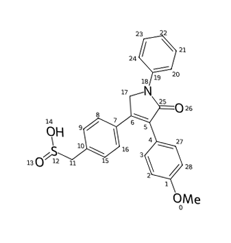 COc1ccc(C2=C(c3ccc(CS(=O)O)cc3)CN(c3ccccc3)C2=O)cc1